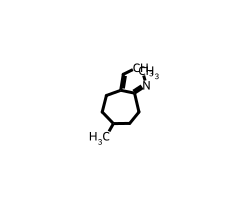 C/C=C1/CCC(C)CC/C1=N/C